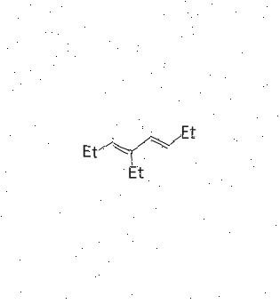 CC/[C]=C(/C=CCC)CC